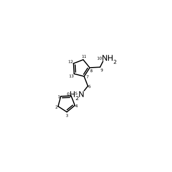 C1=CCC=C1.NCC1=C(CN)CC=C1